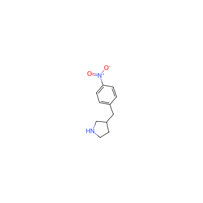 O=[N+]([O-])c1ccc(CC2CCNC2)cc1